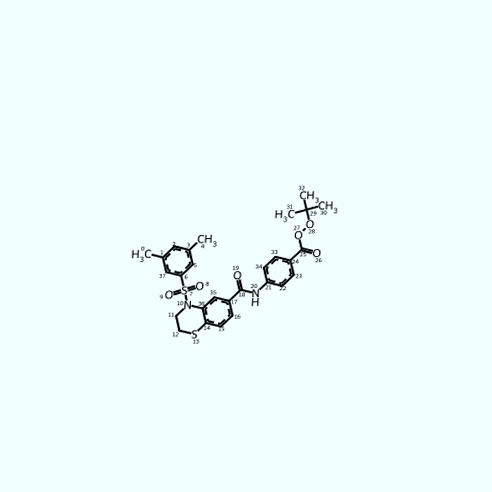 Cc1cc(C)cc(S(=O)(=O)N2CCSc3ccc(C(=O)Nc4ccc(C(=O)OOC(C)(C)C)cc4)cc32)c1